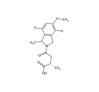 COc1cc(F)c2c(c1F)CN(C(=O)C[C@H](C)C(=O)O)C2C